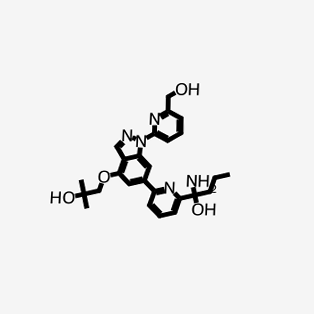 CCCC(N)(O)c1cccc(-c2cc(OCC(C)(C)O)c3cnn(-c4cccc(CO)n4)c3c2)n1